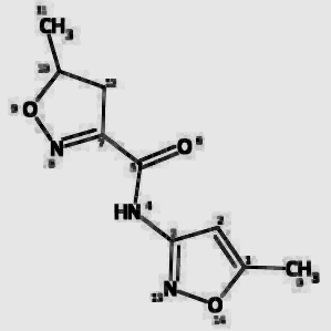 Cc1cc(NC(=O)C2=NOC(C)C2)no1